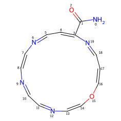 NC(=O)c1ccnccnccnccocccn1